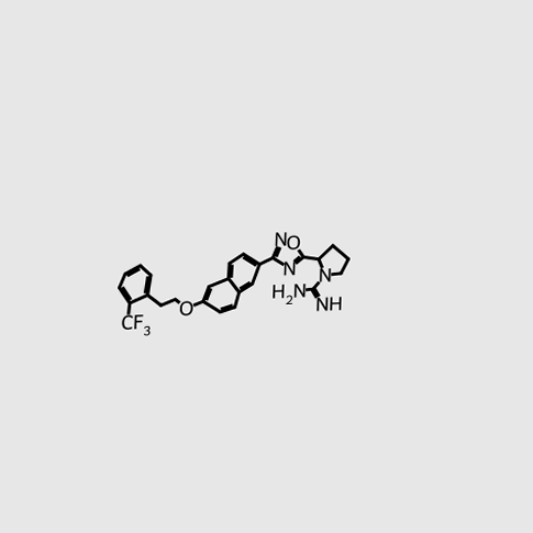 N=C(N)N1CCCC1c1nc(-c2ccc3cc(OCCc4ccccc4C(F)(F)F)ccc3c2)no1